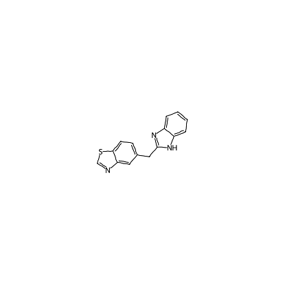 c1ccc2[nH]c(Cc3ccc4scnc4c3)nc2c1